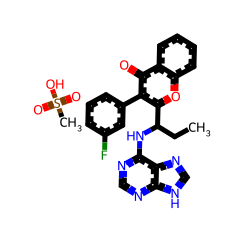 CCC(Nc1ncnc2[nH]cnc12)c1oc2ccccc2c(=O)c1-c1cccc(F)c1.CS(=O)(=O)O